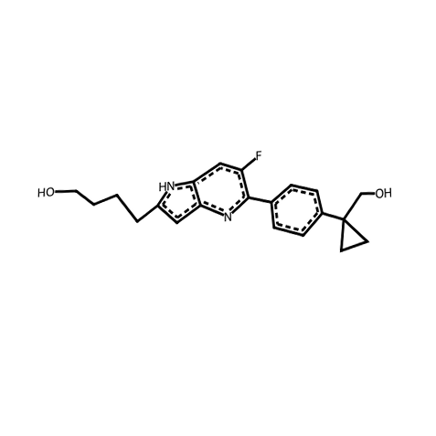 OCCCCc1cc2nc(-c3ccc(C4(CO)CC4)cc3)c(F)cc2[nH]1